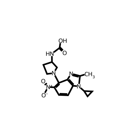 Cc1nc2c(N3CCC(NC(=O)O)C3)c([N+](=O)[O-])ccc2n1C1CC1